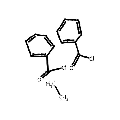 CC.O=C(Cl)c1ccccc1.O=C(Cl)c1ccccc1